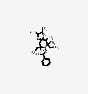 CCC1(C)CC2(OC(C)C(C)O2)C(C)C(C)(CC)N1OC(C)c1ccccc1